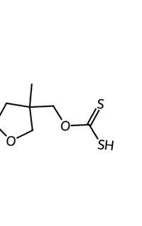 CC1(COC(=S)S)CCOC1